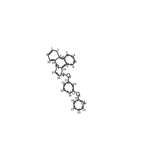 C1=CCC2=c3ccccc3=C3N(Oc4cccc(Oc5ccccn5)c4)C=CN3C2=C1